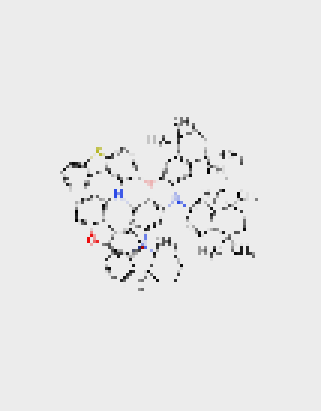 CC1(C)CCC(C)(C)c2cc(N3c4cc5c(cc4B4c6ccc7sc8ccccc8c7c6N(c6cccc7oc8ccccc8c67)c6cc(N7c8ccccc8C8(C)CCCCC78C)cc3c64)C(C)(C)CCC5(C)C)ccc21